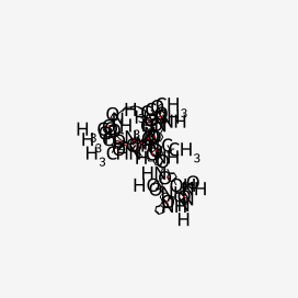 C/C=C/C(O)C(C)(C(=O)OC)C1C\C=C/C=C/C=C/c2nc(co2)C(=O)OC(C(C)(C(=O)OC)C(/C=C/C)OC(=O)CCC(=O)NCCCC[C@H](CC(=O)[C@H](Cc2ccc(O)cc2)NC(=O)[C@H](CO)CC(=O)[C@H](Cc2c[nH]c3ccccc23)NC(=O)[C@@H](CC(=O)[C@@H]2CCC(=O)N2)Cc2cnc[nH]2)C(=O)N[C@@H](CC(C)C)C(=O)C[C@@H](CCCNC(=N)N)C(=O)N2CCC[C@H]2C(=O)NCC(N)=O)C\C=C/C=C/C=C/c2nc(co2)C(=O)O1